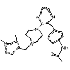 CC(=O)Nc1ccc(-c2nccnc2N2CCN(Cc3cnn(C)c3C)CC2)cc1